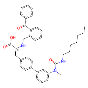 CCCCCCCNC(=O)N(C)c1cccc(-c2ccc(C[C@H](NCc3ccccc3C(=O)c3ccccc3)C(=O)O)cc2)c1